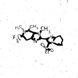 CCS(=O)(=O)c1c(-c2nc3c(n2C)C(C)N(C)C(C(F)(F)F)=C3)nc2n1CCCC2